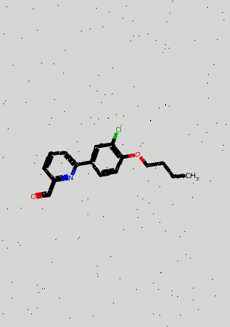 CCCCOc1ccc(-c2cccc(C=O)n2)cc1Cl